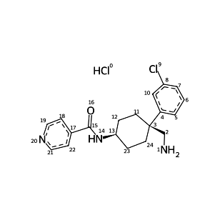 Cl.NC[C@]1(c2cccc(Cl)c2)CC[C@H](NC(=O)c2ccncc2)CC1